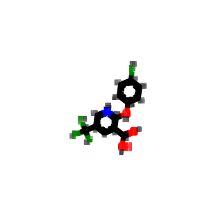 O=C(O)c1cc(C(F)(F)F)cnc1Oc1ccc(F)cc1